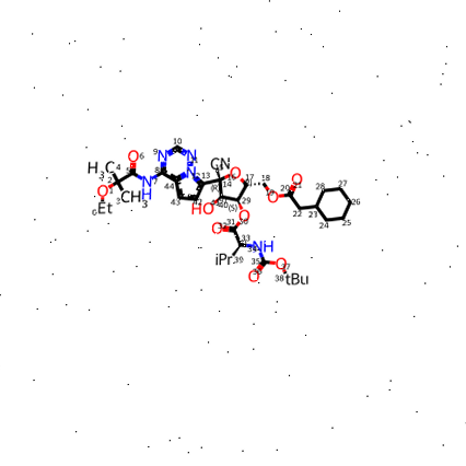 CCOC(C)(C)C(=O)Nc1ncnn2c([C@]3(C#N)O[C@H](COC(=O)CC4CCCCC4)[C@@H](OC(=O)[C@@H](NC(=O)OC(C)(C)C)C(C)C)[C@H]3O)ccc12